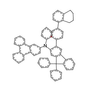 c1ccc(N(c2ccc3c4ccccc4c4ccccc4c3c2)c2cc3c(cc2-c2ccc(-c4cccc5c4CCCC5)cc2)-c2ccccc2C3(c2ccccc2)c2ccccc2)cc1